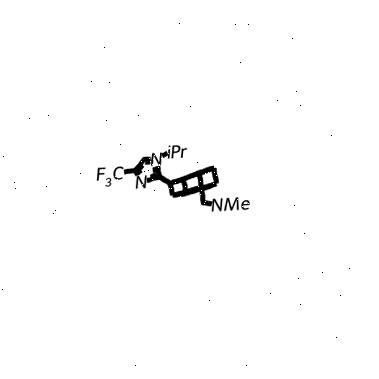 CNCC12C3C4C1C1C2C3C41c1nc(C(F)(F)F)cn1C(C)C